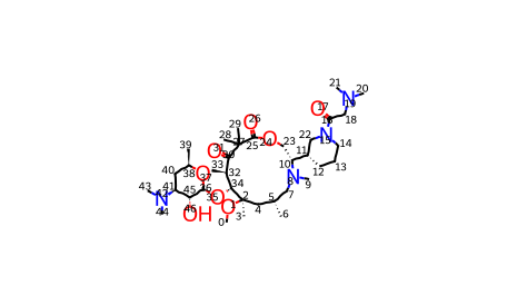 CO[C@]1(C)C[C@@H](C)CN(C)[C@@H]([C@H]2CCCN(C(=O)CN(C)C)C2)COC(=O)C(C)(C)C(=O)[C@H](C)[C@H]1O[C@@H]1O[C@H](C)C[C@H](N(C)C)[C@H]1O